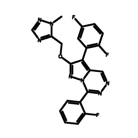 Cn1ncnc1COc1nn2c(-c3ccccc3F)nncc2c1-c1cc(F)ccc1F